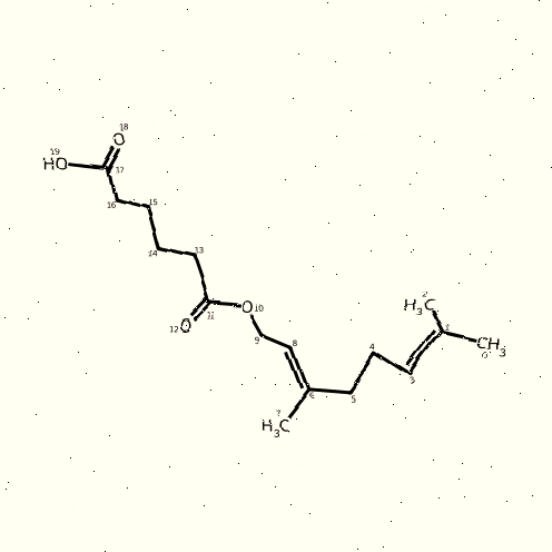 CC(C)=CCCC(C)=CCOC(=O)CCCCC(=O)O